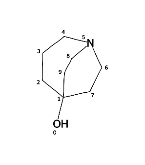 OC12CCCN(CC1)CC2